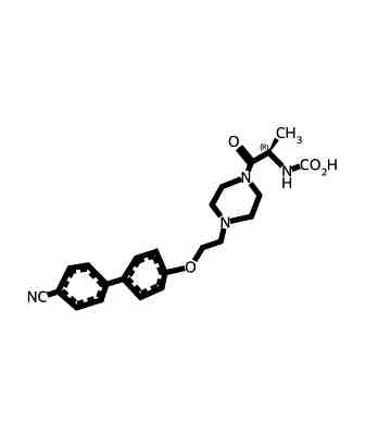 C[C@@H](NC(=O)O)C(=O)N1CCN(CCOc2ccc(-c3ccc(C#N)cc3)cc2)CC1